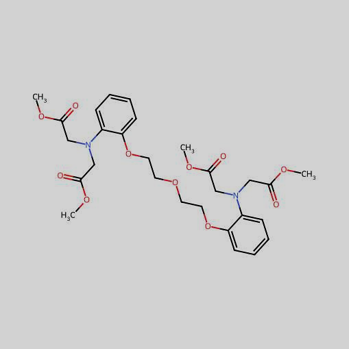 COC(=O)CN(CC(=O)OC)c1ccccc1OCCOCCOc1ccccc1N(CC(=O)OC)CC(=O)OC